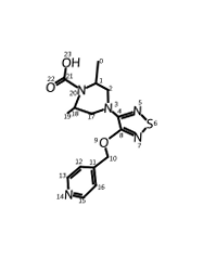 CC1CN(c2nsnc2OCc2ccncc2)CC(C)N1C(=O)O